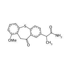 COc1cccc2c1CC(=O)c1cc(C(C)C(N)=O)ccc1S2